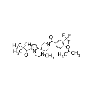 CC(C)Oc1ccc(C(=O)N2CCC3(CC2)c2ccc(C(=O)C(C)(C)C)n2CCN3C)cc1C(F)(F)F